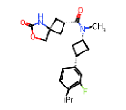 CC(C)c1ccc([C@H]2C[C@@H](N(C)C(=O)[C@H]3C[C@]4(COC(=O)N4)C3)C2)cc1F